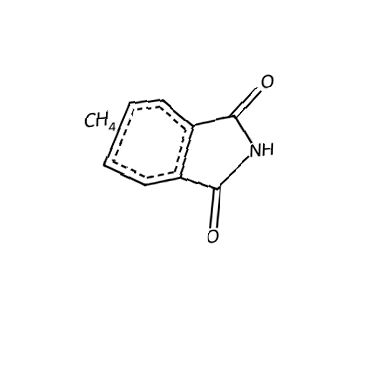 C.O=C1NC(=O)c2ccccc21